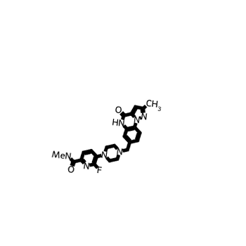 CNC(=O)c1ccc(N2CCN(Cc3ccc4c(c3)[nH]c(=O)c3cc(C)nn34)CC2)c(F)n1